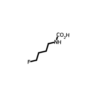 O=C(O)NCCCCF